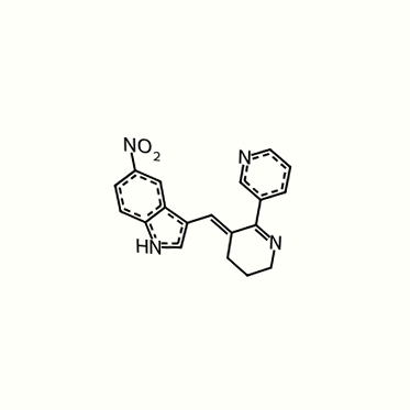 O=[N+]([O-])c1ccc2[nH]cc(C=C3CCCN=C3c3cccnc3)c2c1